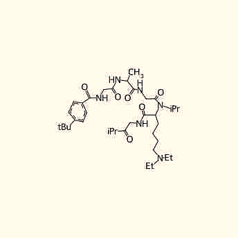 CCN(CC)CCCCC(C(=O)NCC(=O)C(C)C)N(C(=O)CNC(=O)C(C)NC(=O)CNC(=O)c1ccc(C(C)(C)C)cc1)C(C)C